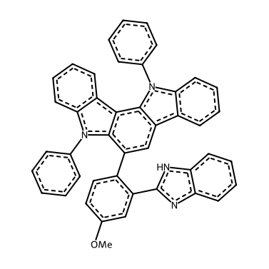 COc1ccc(-c2cc3c4ccccc4n(-c4ccccc4)c3c3c4ccccc4n(-c4ccccc4)c23)c(-c2nc3ccccc3[nH]2)c1